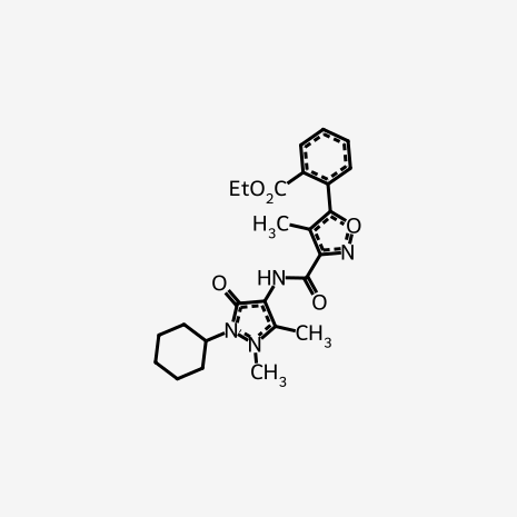 CCOC(=O)c1ccccc1-c1onc(C(=O)Nc2c(C)n(C)n(C3CCCCC3)c2=O)c1C